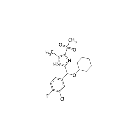 Cc1[nH]c(C(OC2CCCCC2)c2ccc(F)c(Cl)c2)nc1S(C)(=O)=O